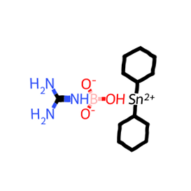 C1CC[CH]([Sn+2][CH]2CCCCC2)CC1.N=C(N)N.[O-]B([O-])O